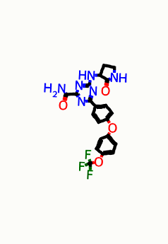 NC(=O)c1nc(NC2CCNC2=O)nc(-c2ccc(Oc3ccc(OC(F)(F)F)cc3)cc2)n1